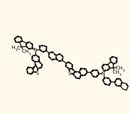 CC1(C)c2ccccc2-c2ccc(N(c3ccc(-c4ccc5c(ccc6sc7cc(-c8ccc9cc(-c%10cccc(N(c%11ccc%12c(c%11)C(C)(C)c%11ccccc%11-%12)c%11ccc%12c(ccc%13sc%14ccccc%14c%13%12)c%11)c%10)ccc9c8)ccc7c65)c4)cc3)c3cccc(-c4ccc5c(c4)CCC=C5)c3)cc21